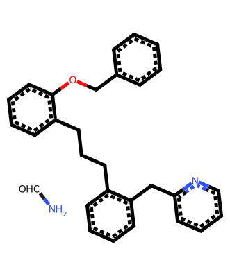 NC=O.c1ccc(COc2ccccc2CCCc2ccccc2Cc2ccccn2)cc1